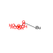 CCC(C)CCCCCCCCCCC(=O)OCC(O)COP(=O)(O)OCC(O)CO